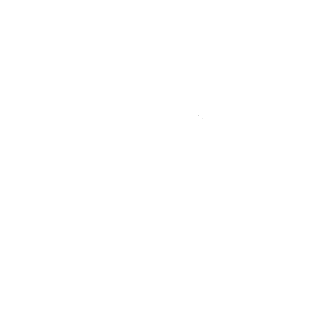 CCCCCc1c(CO)cccc1OCc1ccc2ccccc2n1